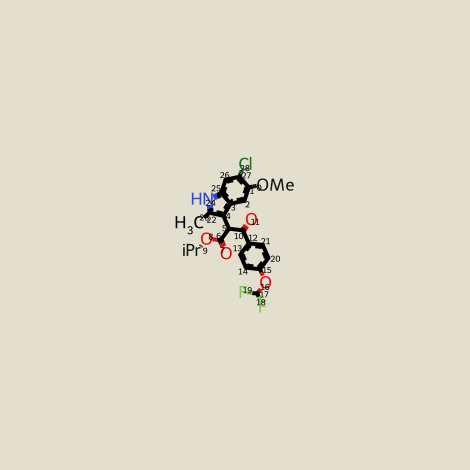 COc1cc2c(C(C(=O)OC(C)C)C(=O)c3ccc(OC(F)F)cc3)c(C)[nH]c2cc1Cl